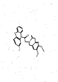 COc1cc2c(cc1OC)CN(CC(=O)N1c3ccccc3Sc3ccc(SC)cc31)C(C)C2